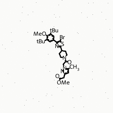 COC(=O)Cc1cc(C)n(CC(=O)N2CCC(c3nc(-c4cc(C(C)(C)C)c(OC)c(C(C)(C)C)c4)c(Br)s3)CC2)n1